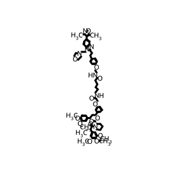 CC[C@H](C(=O)N1CCCC[C@H]1C(=O)OC(CCc1ccc(OC)c(OC)c1)c1cccc(OCC(=O)NCCCCCC(=O)NCCOc2ccc(CCc3nc4cc(-c5c(C)noc5C)ccc4n3CCN3CCOCC3)cc2)c1)c1cc(OC)c(OC)c(OC)c1